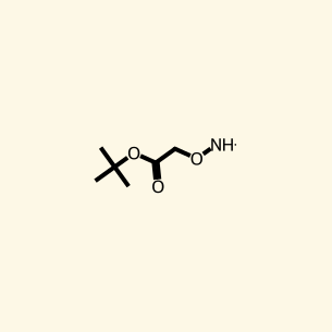 CC(C)(C)OC(=O)CO[NH]